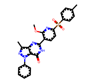 COc1nc(S(=O)(=O)c2ccc(C)cc2)ccc1-c1nc2c(C)nn(-c3ccccc3)c2c(=O)[nH]1